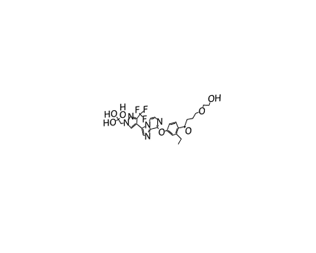 CCc1cc(Oc2nccn3c(-c4cn(CC(O)(O)O)nc4C(F)(F)F)cnc23)ccc1C(=O)CCCOCCO